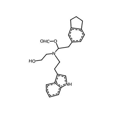 O=COC(Cc1ccc2c(c1)CCC2)N(CCO)CCc1c[nH]c2ccccc12